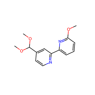 COc1cccc(-c2cc(C(OC)OC)ccn2)n1